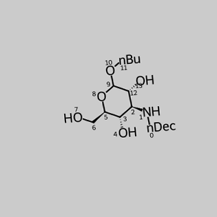 CCCCCCCCCCN[C@H]1[C@H](O)[C@@H](CO)OC(OCCCC)[C@@H]1O